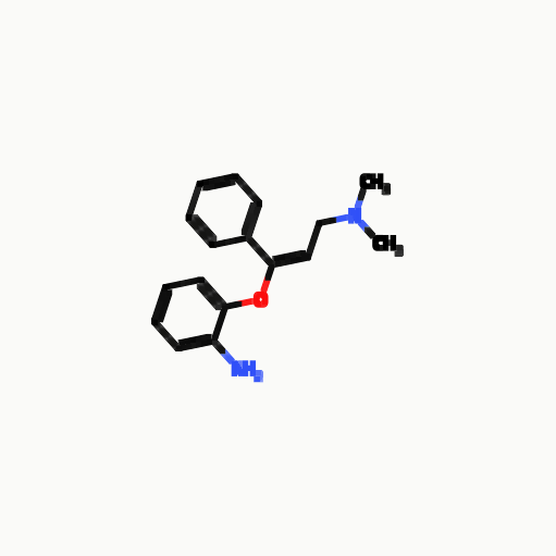 CN(C)CC=C(Oc1ccccc1N)c1ccccc1